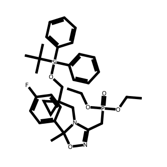 CCOP(=O)(CC1=NOC(C)(c2ccc(F)cc2)N1CC1(CO[Si](c2ccccc2)(c2ccccc2)C(C)(C)C)CC1)OCC